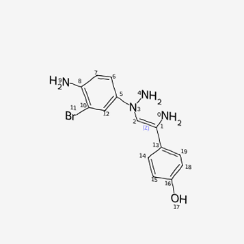 N/C(=C\N(N)c1ccc(N)c(Br)c1)c1ccc(O)cc1